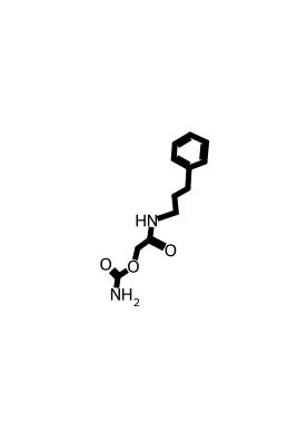 NC(=O)OCC(=O)NCCCc1ccccc1